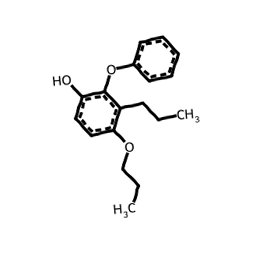 CCCOc1ccc(O)c(Oc2ccccc2)c1CCC